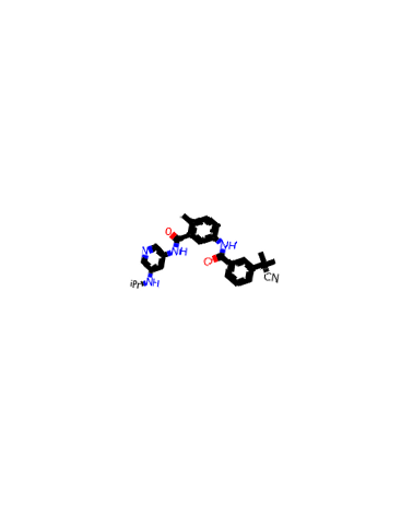 Cc1ccc(NC(=O)c2cccc(C(C)(C)C#N)c2)cc1C(=O)Nc1cncc(NC(C)C)c1